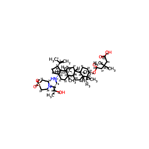 C=C(C)[C@@H]1CC[C@]2(NC[C@H]([C@@H](C)O)N3CCS(=O)(=O)CC3)CC[C@]3(C)[C@H](CC[C@@H]4[C@@]5(C)CC[C@H](OC(=O)CC(C)(C)CC(=O)O)C(C)(C)[C@@H]5CC[C@]43C)[C@@H]12